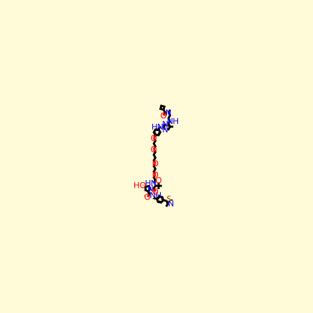 CO/C(NCc1ccc(-c2scnc2C)cc1)=C1\C[C@H](O)CN1C(=O)[C@H](NC(=O)COCCCOCCCCOCCCOc1ccc(Nc2ncc(C)c(NCCN(C)C(=O)C3CCC3)n2)cc1)C(C)(C)C